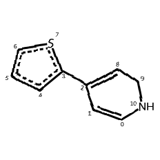 C1=CC(c2cccs2)=CCN1